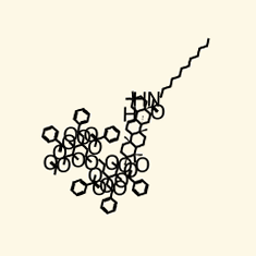 CCCCCCCCCCCCNC(=O)[C@]12CCC(C)(C)C[C@H]1C1=CCC3[C@@]4(C)CC[C@H](OC5OC(COC6OC(COC(C)=O)C(OC(=O)c7ccccc7)C(OC(=O)c7ccccc7)C6OC(=O)c6ccccc6)C(OC(=O)c6ccccc6)C(OC(=O)c6ccccc6)C5OC(=O)c5ccccc5)[C@@](C)(C=O)C4CC[C@@]3(C)[C@]1(C)CC2